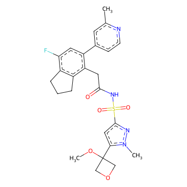 COC1(c2cc(S(=O)(=O)NC(=O)Cc3c(-c4ccnc(C)c4)cc(F)c4c3CCC4)nn2C)COC1